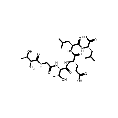 CC(C)C[C@H](NC(=O)[C@H](CC(C)C)NC(=O)[C@H](CCC(=O)O)NC(=O)[C@@H](NC(=O)CNC(=O)[C@@H](N)[C@@H](C)O)[C@@H](C)O)C(=O)O